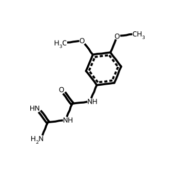 COc1ccc(NC(=O)NC(=N)N)cc1OC